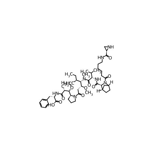 CC[C@H](C)[C@@H]([C@@H](CC(=O)N1CCC[C@H]1[C@H](OC)[C@@H](C)C(=O)N[C@@H](Cc1ccccc1)C(=O)O)OC)N(C)C(=O)[C@@H](NC(=O)[C@@H]1[C@H]2CC[C@H](C2)N1C(=O)CCCCCNC(=O)[C@H]1CN1)C(C)C